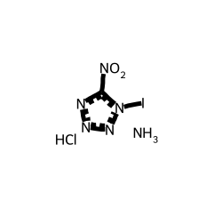 Cl.N.O=[N+]([O-])c1nnnn1I